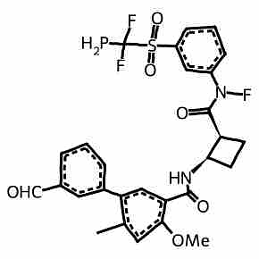 COc1cc(C)c(-c2cccc(C=O)c2)cc1C(=O)N[C@@H]1CC[C@@H]1C(=O)N(F)c1cccc(S(=O)(=O)C(F)(F)P)c1